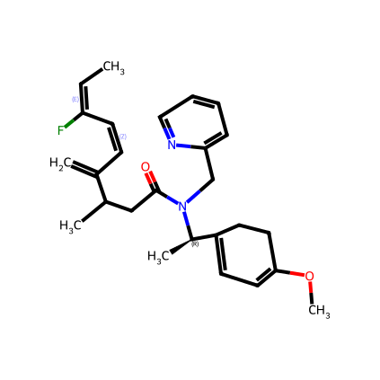 C=C(/C=C\C(F)=C/C)C(C)CC(=O)N(Cc1ccccn1)[C@H](C)C1=CC=C(OC)CC1